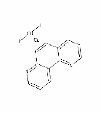 [Cu].[I][Cu][I].c1cnc2c(c1)ccc1ncccc12